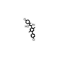 CC(=O)/C(=C(/O)C1(C)CCC(=O)CC1)c1cc(C)c(-c2ccc(Cl)cc2)cc1C